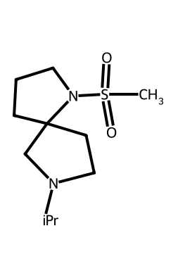 CC(C)N1CCC2(CCCN2S(C)(=O)=O)C1